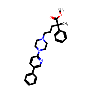 COC(=O)C(C)(CCCN1CCN(c2ccc(-c3ccccc3)cn2)CC1)c1ccccc1